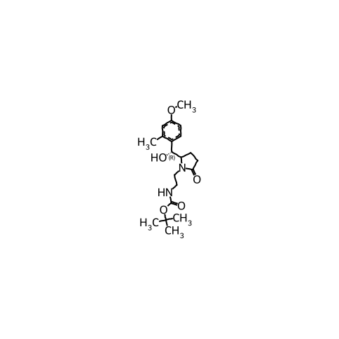 COc1ccc([C@@H](O)C2CCC(=O)N2CCNC(=O)OC(C)(C)C)c(C)c1